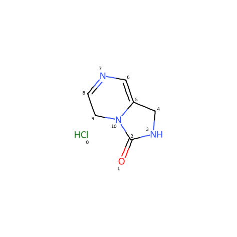 Cl.O=C1NCC2=CN=CCN12